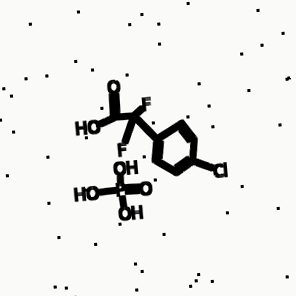 O=C(O)C(F)(F)c1ccc(Cl)cc1.O=P(O)(O)O